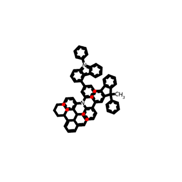 CC1(c2ccccc2)c2ccccc2-c2ccc(-c3ccccc3N(c3cccc(-c4cccc5c4c4ccccc4n5-c4ccccc4)c3)c3ccccc3C3C=CC=C4C=CC=C(C5CCCCC5)C43)cc21